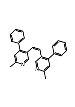 Cc1cc(-c2ccccc2)c(/C=C\c2cnc(C)cc2-c2ccccc2)cn1